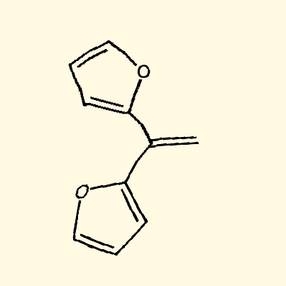 C=C(c1ccco1)c1ccco1